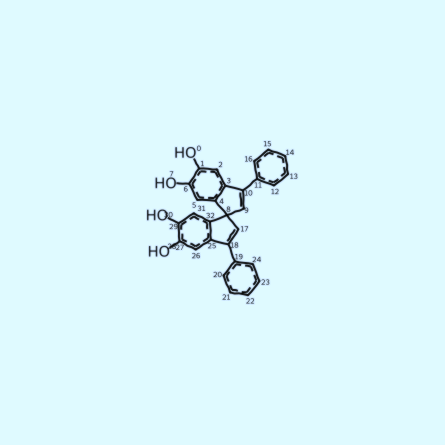 Oc1cc2c(cc1O)C1(C=C2c2ccccc2)C=C(c2ccccc2)c2cc(O)c(O)cc21